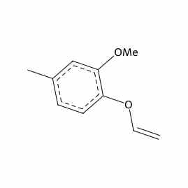 C=COc1ccc(C)cc1OC